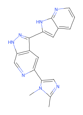 Cc1ncc(-c2cc3c(-c4cc5cccnc5[nH]4)n[nH]c3cn2)n1C